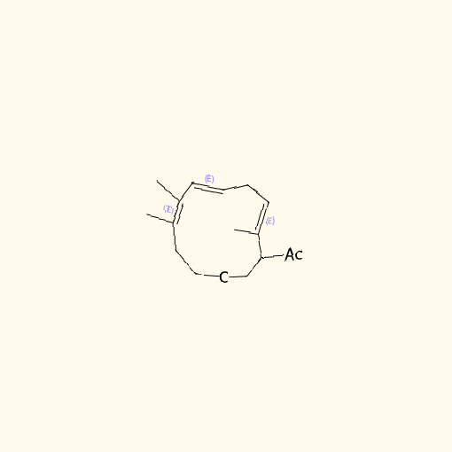 CC(=O)C1CCCC/C(C)=C(C)\C=C\C/C=C/1C